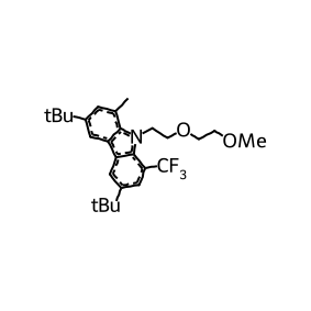 COCCOCCn1c2c(C)cc(C(C)(C)C)cc2c2cc(C(C)(C)C)cc(C(F)(F)F)c21